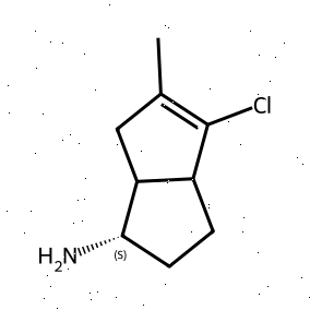 CC1=C(Cl)C2CC[C@H](N)C2C1